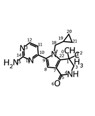 CC1(C)CNC(=O)c2cc(-c3ccnc(N)n3)n(CC3CC3)c21